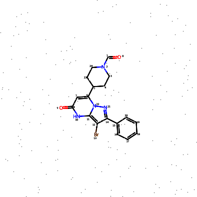 O=CN1CCC(c2cc(=O)[nH]c3c(Br)c(-c4ccccc4)nn23)CC1